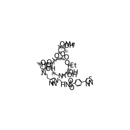 CC[C@H]1OC(=O)[C@H](C)[C@@H](O[C@H]2C[C@@](C)(OC)[C@@H](O)[C@H](C)O2)[C@H](C)[C@@H](O[C@@H]2O[C@H](C)C[C@H](N(C)CCc3cn(CCCNS(=O)(=O)c4ccc(-c5csnn5)cc4)nn3)[C@H]2O)[C@](C)(O)C[C@@H](C)CN(C)[C@H](C)[C@@H](O)[C@]1(C)O